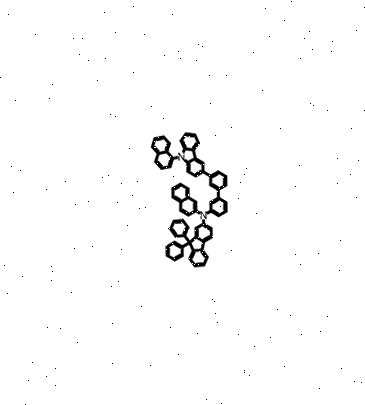 c1ccc(C2(c3ccccc3)c3ccccc3-c3ccc(N(c4cccc(-c5cccc(-c6ccc7c(c6)c6ccccc6n7-c6cccc7ccccc67)c5)c4)c4ccc5ccccc5c4)cc32)cc1